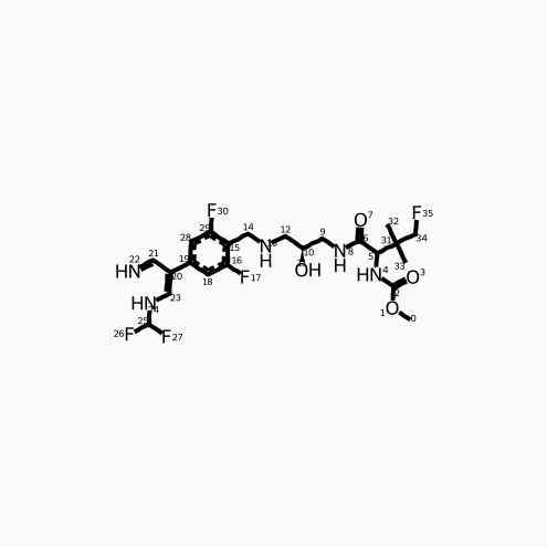 COC(=O)NC(C(=O)NC[C@@H](O)CNCc1c(F)cc(/C(C=N)=C/NC(F)F)cc1F)C(C)(C)CF